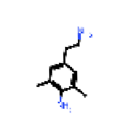 Cc1cc(CCN)cc(C)c1N